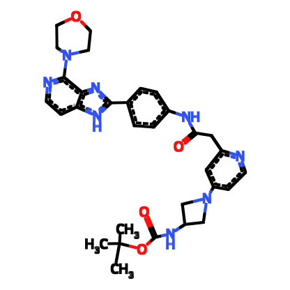 CC(C)(C)OC(=O)NC1CN(c2ccnc(CC(=O)Nc3ccc(-c4nc5c(N6CCOCC6)nccc5[nH]4)cc3)c2)C1